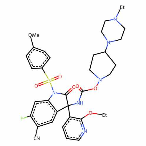 CCOc1ncccc1C1(NC(=O)ON2CCC(N3CCN(CC)CC3)CC2)C(=O)N(S(=O)(=O)c2ccc(OC)cc2)c2cc(F)c(C#N)cc21